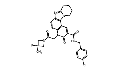 CC1(F)CN(C(=O)Cn2c(=O)c(C(=O)NCc3ccc(Cl)cc3)cc3c4c(cnc32)nc2n4CCCC2)C1